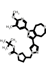 COc1ncc(-n2nc(-c3cnn(CC4CCN(C(=O)OC(C)(C)C)C4)c3)c3c2CCOCC3)cc1C